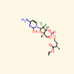 CCOC(=O)[C@H](C)CCO[P@@]1(=O)OC[C@H]2O[C@@H](N3C=CC(N)=NC3O)C(F)(F)[C@@H]2O1